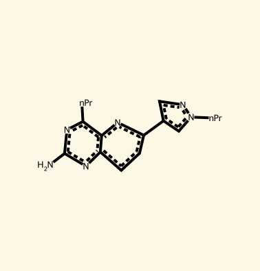 CCCc1nc(N)nc2ccc(-c3cnn(CCC)c3)nc12